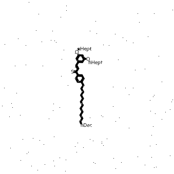 CCCCCCCCCCCCCCCCCCCCCCc1ccc(C(=S)C=Cc2cc(OCCCCCCC)cc(OCCCCCCC)c2)cc1